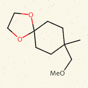 COCC1(C)CCC2(CC1)OCCO2